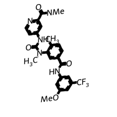 CNC(=O)c1cc(NC(=O)N(C)c2cc(C(=O)Nc3cc(OC)cc(C(F)(F)F)c3)ccc2C)ccn1